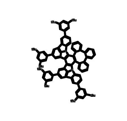 CC(C)(C)c1cc(-c2ccc3c(c2)c2cc(-c4cc(C(C)(C)C)cc(C(C)(C)C)c4)cc4c5c6c7cc(-c8cc(C(C)(C)C)cc(C(C)(C)C)c8)cc8c9cc(-c%10cc(C(C)(C)C)cc(C(C)(C)C)c%10)ccc9n(c87)c6c6c7ccccc7c7ccccc7c7ccccc7c6c5n3c24)cc(C(C)(C)C)c1